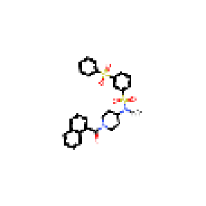 CCCN(C1CCN(C(=O)c2cccc3ccccc23)CC1)S(=O)(=O)c1cccc(S(=O)(=O)c2ccccc2)c1